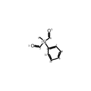 C[Si](C=O)(C=O)c1ccccc1